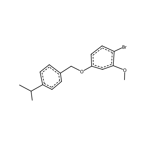 COc1cc(OCc2ccc(C(C)C)cc2)ccc1Br